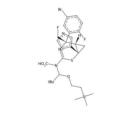 CC(C)(C)C(OCC[Si](C)(C)C)N(C(=O)O)C1=N[C@](CF)(c2cc(Br)ccc2F)[C@@H]2C[C@]2(c2cnco2)S1